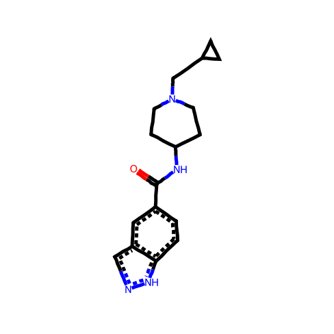 O=C(NC1CCN(CC2CC2)CC1)c1ccc2[nH]ncc2c1